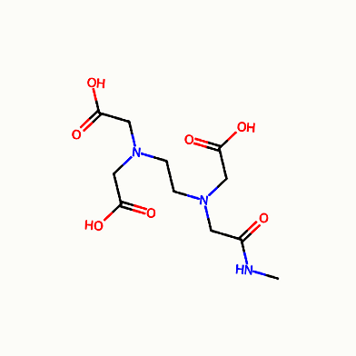 CNC(=O)CN(CCN(CC(=O)O)CC(=O)O)CC(=O)O